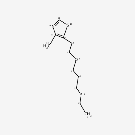 CCSCCCOCCc1scnc1C